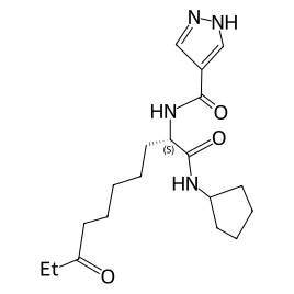 CCC(=O)CCCCC[C@H](NC(=O)c1cn[nH]c1)C(=O)NC1CCCC1